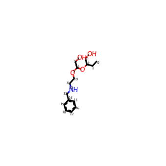 CCC(CO)OC(CO)OCCNCc1ccccc1